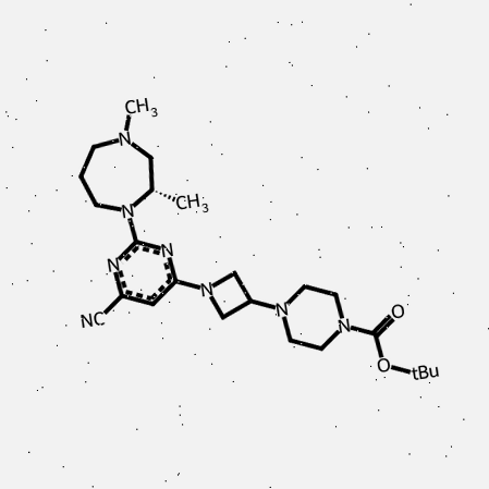 C[C@H]1CN(C)CCCN1c1nc(C#N)cc(N2CC(N3CCN(C(=O)OC(C)(C)C)CC3)C2)n1